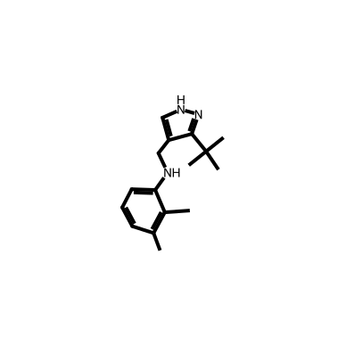 Cc1cccc(NCc2c[nH]nc2C(C)(C)C)c1C